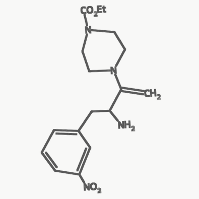 C=C(C(N)Cc1cccc([N+](=O)[O-])c1)N1CCN(C(=O)OCC)CC1